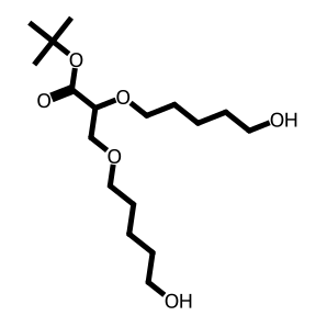 CC(C)(C)OC(=O)C(COCCCCCO)OCCCCCO